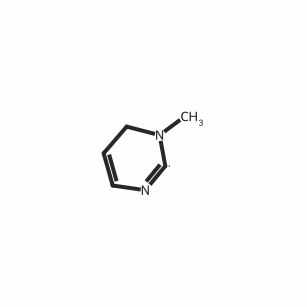 CN1[C]=NC=CC1